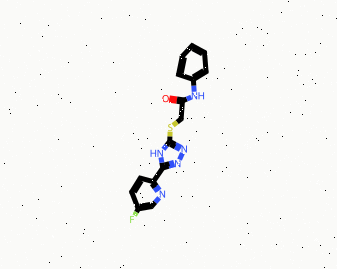 O=C(CSc1nnc(-c2ccc(F)cn2)[nH]1)Nc1ccccc1